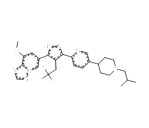 COc1cc(-c2[nH]nc(-c3ccc(C4CCN(CC(C)C)CC4)cn3)c2CC(F)(F)F)cn2ncnc12